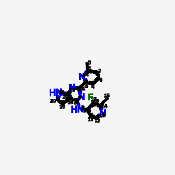 Cc1cccc(-c2nc(Nc3ccnc(C)c3F)c3cc[nH]c3n2)n1